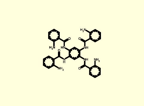 Nc1ccccc1C(=O)Nc1cc(NC(=O)c2ccccc2N)c(NC(=O)c2ccccc2N)cc1NC(=O)c1ccccc1N